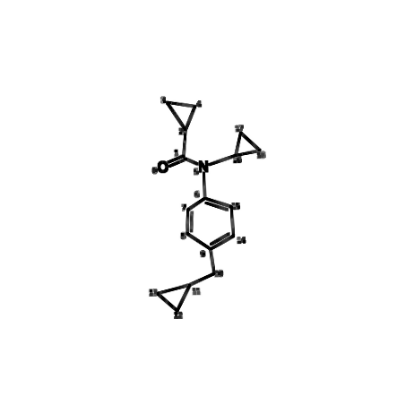 O=C(C1CC1)N(c1ccc(CC2CC2)cc1)C1CC1